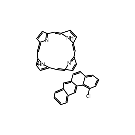 C1=Cc2cc3ccc(cc4nc(cc5ccc(cc1n2)[nH]5)C=C4)[nH]3.Clc1cccc2ccc3cc4ccccc4cc3c12